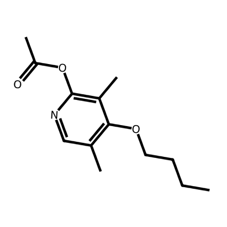 CCCCOc1c(C)cnc(OC(C)=O)c1C